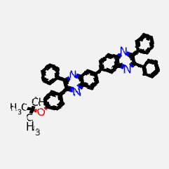 CC(C)(C)Oc1ccc(-c2nc3ccc(-c4ccc5nc(-c6ccccc6)c(C6=CC=C=C=C6)nc5c4)cc3nc2-c2ccccc2)cc1